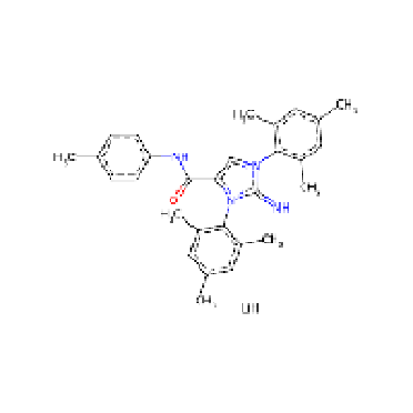 Cc1ccc(NC(=O)c2cn(-c3c(C)cc(C)cc3C)c(=N)n2-c2c(C)cc(C)cc2C)cc1.[LiH]